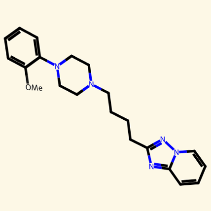 COc1ccccc1N1CCN(CCCCc2nc3ccccn3n2)CC1